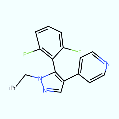 CC(C)Cn1ncc(-c2ccncc2)c1-c1c(F)cccc1F